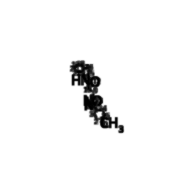 Cc1ccc(-c2nnc(CCC(=O)NC3CCc4ccccc43)o2)cc1